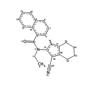 CCN(C(=O)c1cccc2ccccc12)c1sc2c(c1C#N)CCCC2